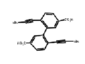 CCCCC#Cc1ccc(C(=O)O)cc1-c1cc(C(=O)O)ccc1C#CCCCC